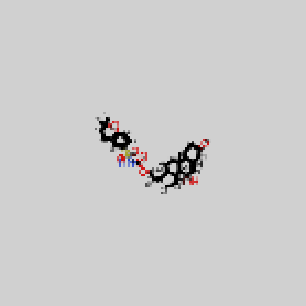 C[C@H](COC(=O)NS(=O)(=O)c1ccc2c(c1)CCC(C)(C)O2)[C@H]1CC[C@H]2[C@@H]3[C@H](O)C[C@@H]4CC(=O)CC[C@]4(C)[C@H]3CC[C@]12C